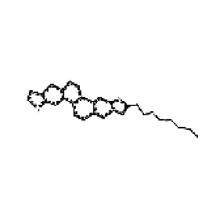 CCCCCCCCc1cc2cc3ccc4c5cc6sccc6cc5ccc4c3cc2s1